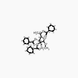 COC1O[C@H]([C@@H](C)OC(=O)c2ccccc2)[C@@H](OC(=O)c2ccccc2)[C@@]1(C)OC(=O)c1ccccc1